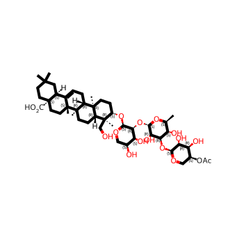 CC(=O)O[C@H]1CO[C@@H](O[C@@H]2[C@@H](O)[C@H](C)O[C@@H](O[C@H]3[C@H](O[C@H]4CC[C@@]5(C)[C@@H](CC[C@]6(C)[C@@H]5CC=C5[C@@H]7CC(C)(C)CC[C@]7(C(=O)O)CC[C@]56C)[C@]4(C)CO)OC[C@H](O)[C@@H]3O)[C@@H]2O)[C@H](O)[C@H]1O